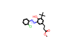 COC(=O)CCc1cc(/N=N/c2ccccc2Cl)c(O)c(C(C)(C)C)c1